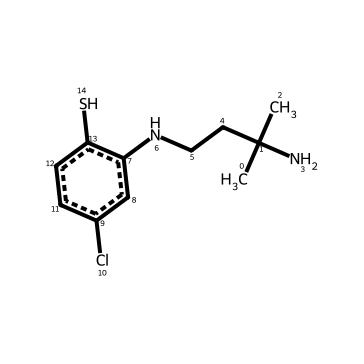 CC(C)(N)CCNc1cc(Cl)ccc1S